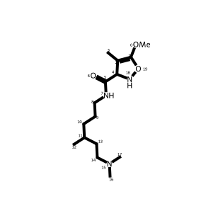 COC1=C(C)C(C(=O)NCCCC(C)CCN(C)C)NO1